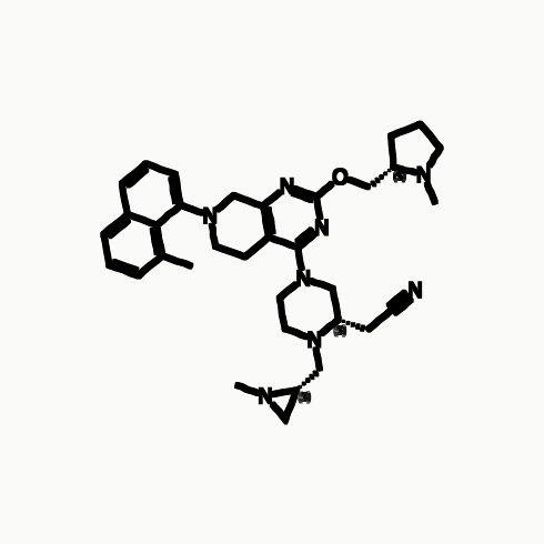 Cc1cccc2cccc(N3CCc4c(nc(OC[C@@H]5CCCN5C)nc4N4CCN(C[C@@H]5CN5C)[C@@H](CC#N)C4)C3)c12